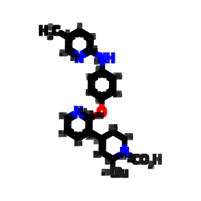 Cc1ccc(Nc2ccc(Oc3ncccc3C3=CC(C(C)(C)C)N(C(=O)O)CC3)cc2)nc1